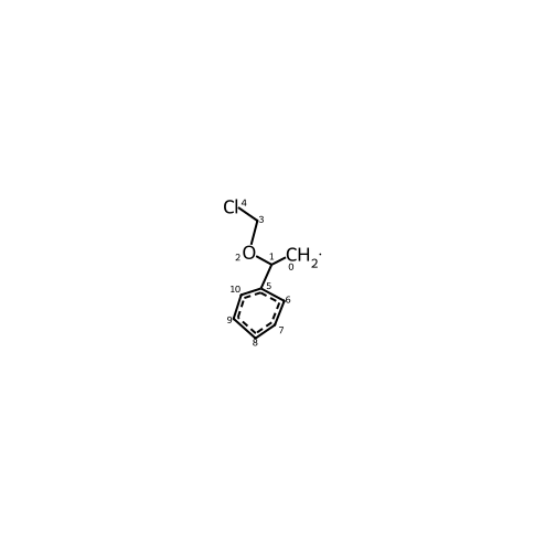 [CH2]C(OCCl)c1ccccc1